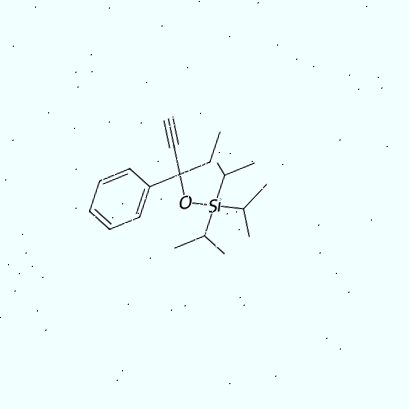 C#CC(CC)(O[Si](C(C)C)(C(C)C)C(C)C)c1ccccc1